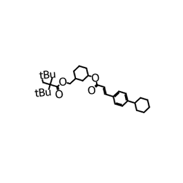 CC(C)(C)CC(C)(C(=O)OCC1CCCC(OC(=O)/C=C/c2ccc(C3CCCCC3)cc2)C1)C(C)(C)C